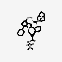 COc1ccc(C2CCCCC2)c2c1cc1n2CC2=C(C(=O)NS(=O)(=O)N(C)C)C2=C2C=CC[C@@H](C(=O)N3CCC4CCC(C3)N4C)C21